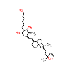 C=C1/C(=C\C=C2CCC[C@@]3(C)C2CC[C@@H]3[C@H](C)CCCC(C)(C)O)C[C@@H](O)[C@@H](CCCCCCO)[C@H]1O